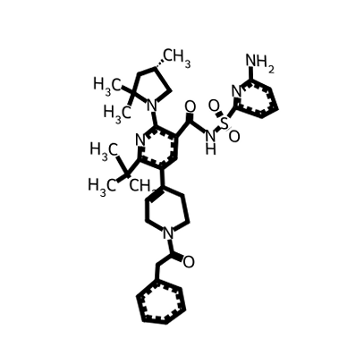 C[C@@H]1CN(c2nc(C(C)(C)C)c(C3=CCN(C(=O)Cc4ccccc4)CC3)cc2C(=O)NS(=O)(=O)c2cccc(N)n2)C(C)(C)C1